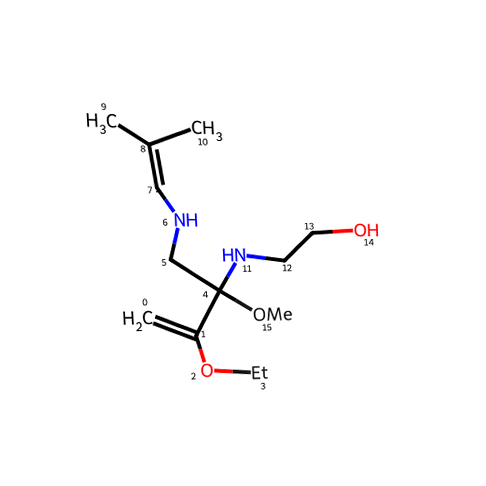 C=C(OCC)C(CN[C]=C(C)C)(NCCO)OC